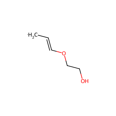 [CH2]/C=C/OCCO